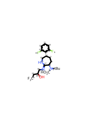 CC(C)(C)N(C(=O)O)[C@@H]1CC[C@@H](c2c(F)cccc2F)CN/C1=N\CC(O)CC(F)(F)F